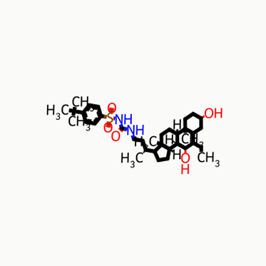 CCC1C2C[C@H](O)CCC2(C)[C@H]2CCC3(C)C([C@H](C)CCNC(=O)NS(=O)(=O)c4ccc(C(C)(C)C)cc4)CC[C@H]3[C@@H]2[C@@H]1O